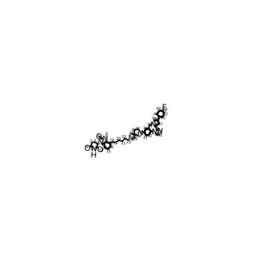 Cn1c(=O)n(C2CCC(=O)NC2=O)c2cccc(CCCCCCN3CC4(CCN(c5ccc6c(c5)Cn5cc(-c7ccc(F)cc7)cc5-c5nccn5-6)C4)C3)c21